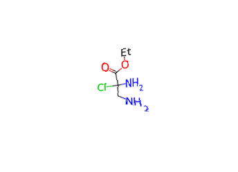 CCOC(=O)C(N)(Cl)CN